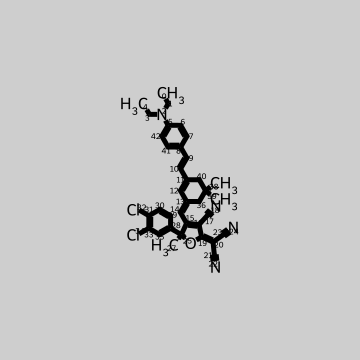 CCN(CC)c1ccc(/C=C/C2=CC(=C/C3=C(C#N)C(=C(C#N)C#N)OC3(C)c3ccc(Cl)c(Cl)c3)/CC(C)(C)C2)cc1